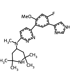 COc1cc(F)c(-c2c[nH]cn2)cc1-c1ccc(N(C)C2CC(C)(C)NC(C)(C)C2)nn1